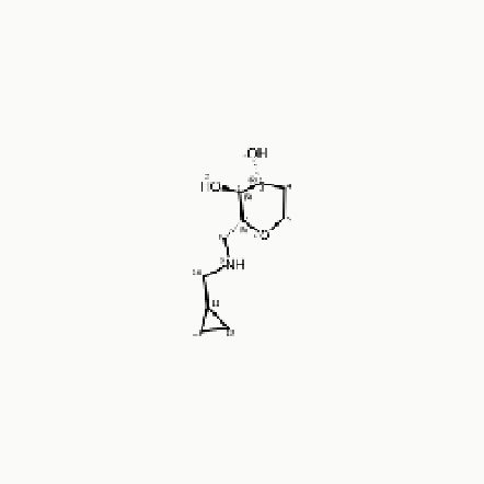 O[C@H]1[C@H](O)CCO[C@@H]1CNCC1CC1